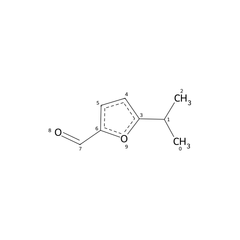 CC(C)c1ccc(C=O)o1